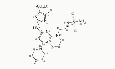 CCOC(=O)c1sc(Nc2nc3c(c(N4CCOCC4)n2)CCCN3CCNS(N)(=O)=O)nc1C